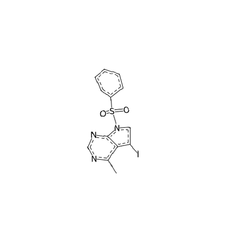 Cc1ncnc2c1c(I)cn2S(=O)(=O)c1ccccc1